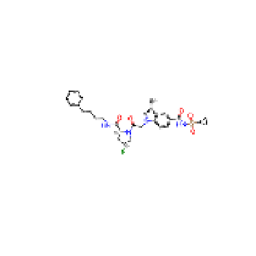 CC(=O)c1cn(CC(=O)N2C[C@H](F)C[C@H]2C(=O)NCCCCc2ccccc2)c2ccc(C(=O)NS(=O)(=O)C3CC3)cc12